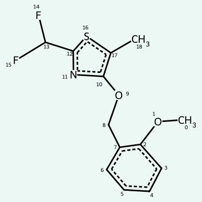 COc1ccccc1COc1nc(C(F)F)sc1C